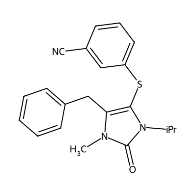 CC(C)n1c(Sc2cccc(C#N)c2)c(Cc2ccccc2)n(C)c1=O